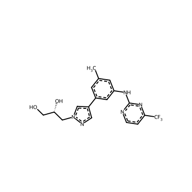 Cc1cc(Nc2nccc(C(F)(F)F)n2)cc(-c2cnn(C[C@@H](O)CO)c2)c1